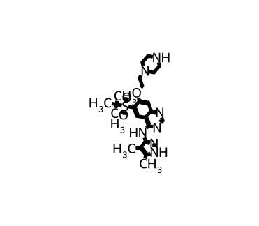 Cc1[nH]nc(Nc2ncnc3cc(OCCN4CCNCC4)c(S(=O)(=O)C(C)(C)C)cc23)c1C